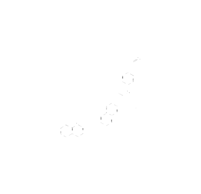 CC(C(=O)Nc1ccc(CC#N)cc1)c1ccc2cc(OCc3ccc4ccccc4n3)ccc2c1